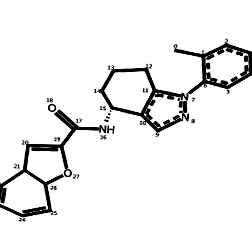 Cc1ccccc1-n1ncc2c1CCC[C@H]2NC(=O)C1=CC2C=CC=CC2O1